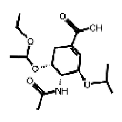 CCOC(C)O[C@@H]1CC(C(=O)O)=C[C@@H](OC(C)C)[C@@H]1NC(C)=O